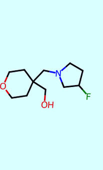 OCC1(CN2CCC(F)C2)CCOCC1